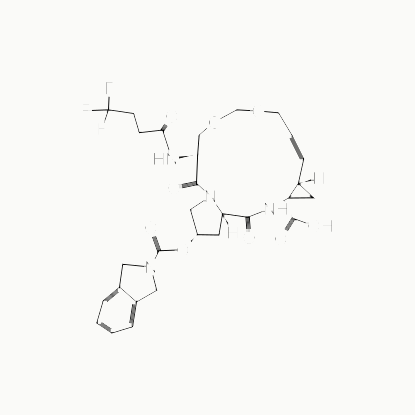 O=C(CCC(F)(F)F)N[C@H]1CCCCC/C=C\[C@@H]2C[C@@]2(C(=O)O)NC(=O)[C@@H]2C[C@@H](OC(=O)N3Cc4ccccc4C3)CN2C1=O